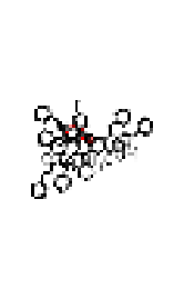 CC(C)(O)c1cc(-c2c3c(nc(C4(C(=Cc5ccccc5)C(=O)C=Cc5ccccc5)CCCCC4)c2N(C(=Cc2ccccc2)C(=O)C=Cc2ccccc2)[SH](=O)=O)CCCC3)c(Oc2ccc(F)cc2F)cc1C(=Cc1ccccc1)C(=O)C=Cc1ccccc1